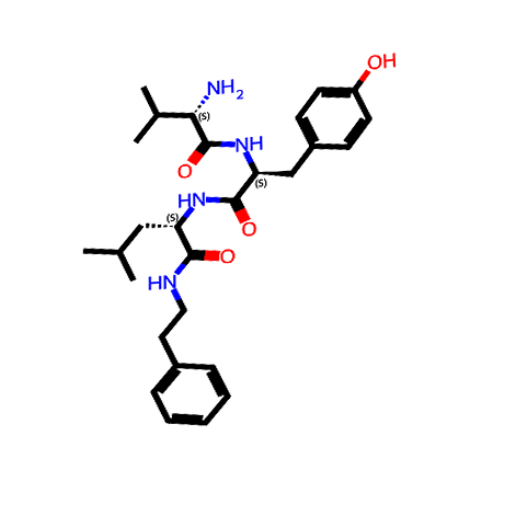 CC(C)C[C@H](NC(=O)[C@H](Cc1ccc(O)cc1)NC(=O)[C@@H](N)C(C)C)C(=O)NCCc1ccccc1